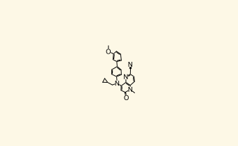 COc1cccc(-c2ccc(N(CC3CC3)c3cc(=O)n(C)c4ccc(C#N)nc34)cc2)c1